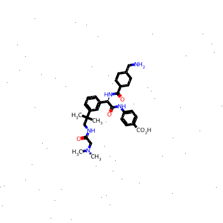 CN(C)CC(=O)NCC(C)(C)c1cccc([C@H](NC(=O)C2CCC(CN)CC2)C(=O)Nc2ccc(C(=O)O)cc2)c1